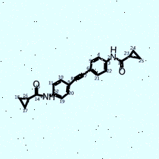 O=C(Nc1ccc(C#Cc2ccc(NC(=O)C3CC3)cc2)cc1)C1CC1